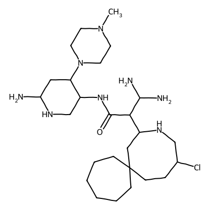 CN1CCN(C2CC(N)NCC2NC(=O)C(C(N)N)C2CC3(CCCCCC3)CCC(Cl)CN2)CC1